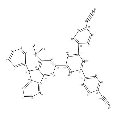 CC1(C)c2ccccc2-n2c3cccnc3c3cc(-c4nc(-c5ccc(C#N)cc5)nc(-c5ccc(C#N)cc5)n4)cc1c32